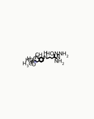 CN(C)c1cc(NCCCc2c(N)nc(N)nc2O)ccc1/C=C/P(C)(=O)O